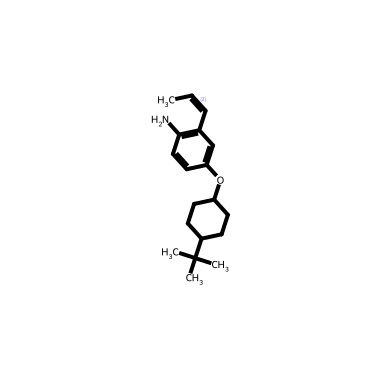 C/C=C\c1cc(OC2CCC(C(C)(C)C)CC2)ccc1N